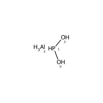 OPO.[AlH3]